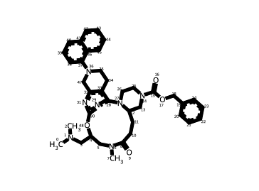 CN(C)CC1CN(C)C(=O)CCC2CN(C(=O)OCc3ccccc3)CCN2c2nc(nc3c2CCN(c2cccc4ccccc24)C3)O1